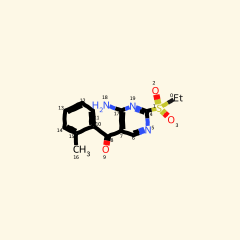 CCS(=O)(=O)c1ncc(C(=O)c2ccccc2C)c(N)n1